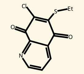 CCSC1=C(Cl)C(=O)c2ncccc2C1=O